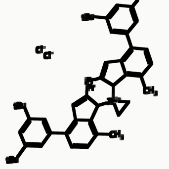 Cc1ccc(-c2cc(C(C)(C)C)cc(C(C)(C)C)c2)c2c1[CH]([Zr+2]1([CH]3C(C(C)C)=Cc4c(-c5cc(C(C)(C)C)cc(C(C)(C)C)c5)ccc(C)c43)[CH2][CH2]1)C(C(C)C)=C2.[Cl-].[Cl-]